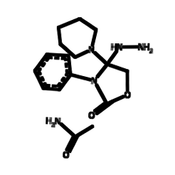 CC(N)=O.NNC1(N2CCCCC2)COC(=O)N1c1ccccc1